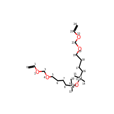 C=COCOCCCC[Si](C)(C)O[Si](C)(C)CCCCOCOC=C